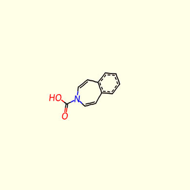 O=C(O)N1C=Cc2ccccc2C=C1